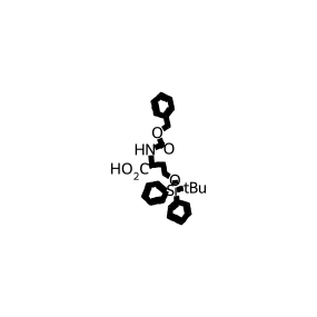 CC(C)(C)[Si](OCCC(NC(=O)OCc1ccccc1)C(=O)O)(c1ccccc1)c1ccccc1